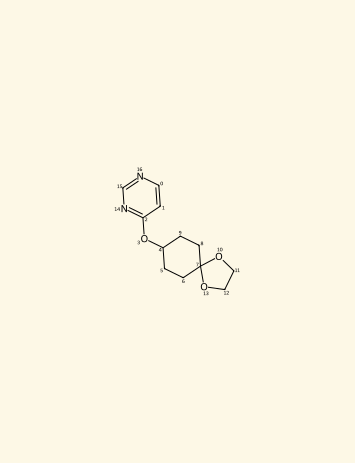 c1cc(OC2CCC3(CC2)OCCO3)ncn1